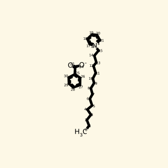 CCCCCCCCCCCCCCCC[n+]1ccccc1.O=C([O-])c1ccccc1